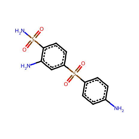 Nc1ccc(S(=O)(=O)c2ccc(S(N)(=O)=O)c(N)c2)cc1